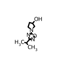 CC(C)c1noc(N2CCC(O)C2)n1